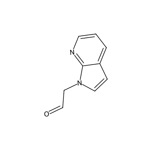 O=CCn1ccc2cccnc21